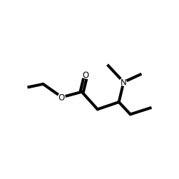 CCOC(=O)CC(CC)N(C)C